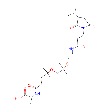 CC(NC(=O)CCC(C)(C)OCC(C)(C)OCCNC(=O)CCN1C(=O)CC(C(C)C)C1=O)C(=O)O